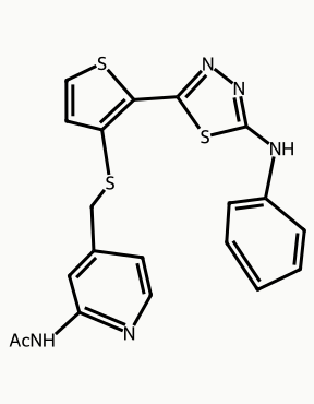 CC(=O)Nc1cc(CSc2ccsc2-c2nnc(Nc3ccccc3)s2)ccn1